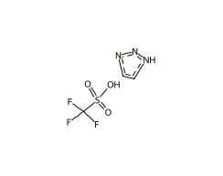 O=S(=O)(O)C(F)(F)F.c1c[nH]nn1